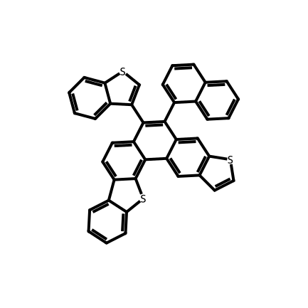 c1ccc2c(-c3c(-c4csc5ccccc45)c4ccc5c6ccccc6sc5c4c4cc5ccsc5cc34)cccc2c1